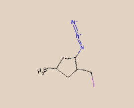 BC1CC(CI)C(N=[N+]=[N-])C1